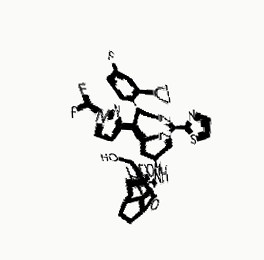 O=S(=O)(N[C@H]1CC2=C(c3ccn(C(F)F)n3)[C@H](c3ccc(F)cc3Cl)N=C(c3nccs3)N2C1)[C@H]1C2CCC1C[C@@](O)(CO)C2